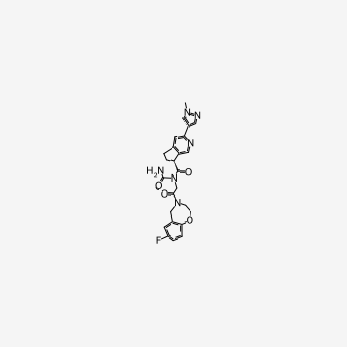 Cn1cc(-c2cc3c(cn2)[C@@H](C(=O)N(CC(=O)N2CCOc4ccc(F)cc4C2)C(N)=O)CC3)cn1